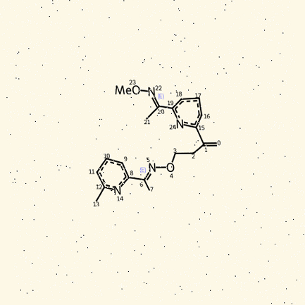 C=C(CCO/N=C(\C)c1cccc(C)n1)c1cccc(/C(C)=N/OC)n1